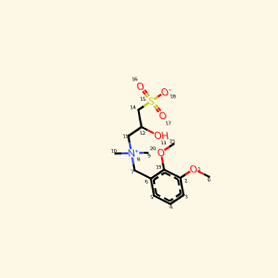 COc1cccc(C[N+](C)(C)CC(O)CS(=O)(=O)[O-])c1OC